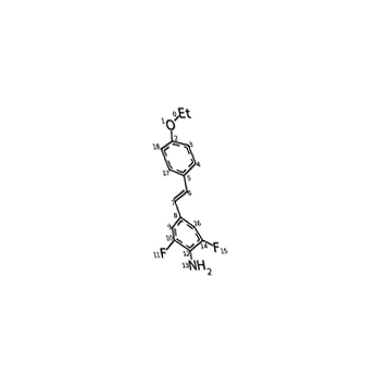 CCOc1ccc(/C=C/c2cc(F)c(N)c(F)c2)cc1